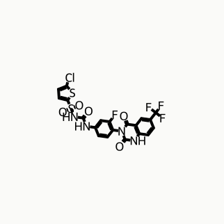 O=C(Nc1ccc(-n2c(=O)[nH]c3ccc(C(F)(F)F)cc3c2=O)c(F)c1)NS(=O)(=O)c1ccc(Cl)s1